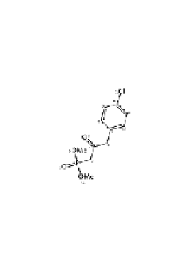 COP(=O)(CC(=O)Cc1ccc(Cl)cc1)OC